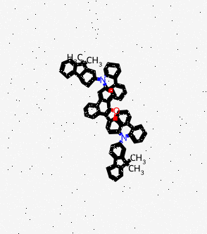 CC1(C)c2ccccc2-c2ccc(N(c3ccc4c(c3)oc3c5ccc(N(c6ccc7c(c6)C(C)(C)c6ccccc6-7)c6ccccc6-c6ccccc6)cc5c5ccccc5c43)c3ccccc3-c3ccccc3)cc21